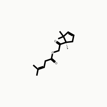 CC(C)=CCC(=O)OCC(=O)[C@]1(C)CC=CC1(C)C